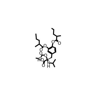 CCCC(C)C(=O)Oc1ccc(C[C@](NC(C)C)(OC(=O)OC)C(=O)O)cc1OC(=O)C(C)CCC